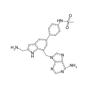 CS(=O)(=O)Nc1ccc(-c2cc(Cn3cnc4c(N)ncnc43)c3[nH]c(CN)cc3c2)cc1